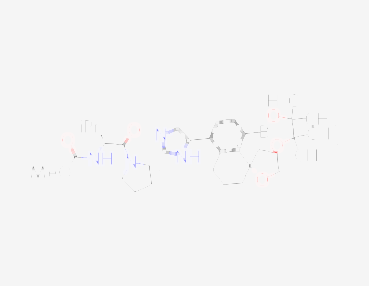 COC(=O)N[C@H](C(=O)N1CCC[C@H]1c1ncc(-c2ccc(B3OC(C)(C)C(C)(C)O3)c3c2CCCC32CCCO2)[nH]1)C(C)C